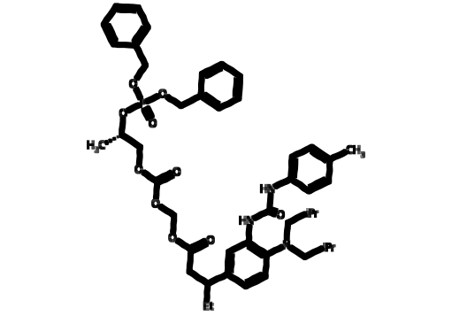 CCC(CC(=O)OCOC(=O)OC[C@H](C)OP(=O)(OCc1ccccc1)OCc1ccccc1)c1ccc(N(CC(C)C)CC(C)C)c(NC(=O)Nc2ccc(C)cc2)c1